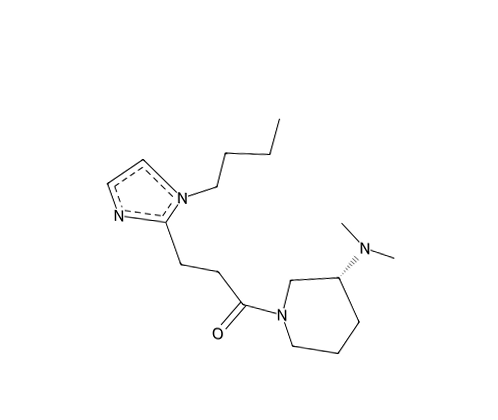 CCCCn1ccnc1CCC(=O)N1CCC[C@@H](N(C)C)C1